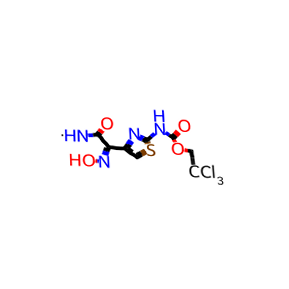 [NH]C(=O)C(=NO)c1csc(NC(=O)OCC(Cl)(Cl)Cl)n1